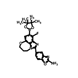 CC1(C)OB(c2cc3c4c(nc(-c5ccc6oc(N)nc6c5)n4CCCO3)c2F)OC1(C)C